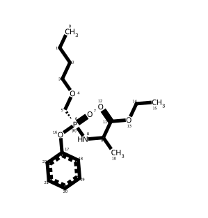 CCCCOC[P@](=O)(NC(C)C(=O)OCC)Oc1ccccc1